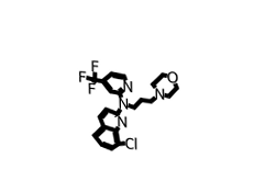 FC(F)(F)c1ccnc(N(CCCN2CCOCC2)c2ccc3cccc(Cl)c3n2)c1